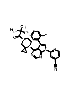 CC(C)(O)C(=O)N1CCN(c2ncnc3c2c(-c2ccccc2F)cn3-c2cc(C#N)ccn2)C2(CC2)C1